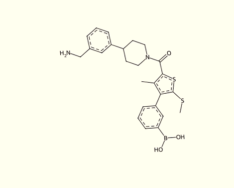 CSc1sc(C(=O)N2CCC(c3cccc(CN)c3)CC2)c(C)c1-c1cccc(B(O)O)c1